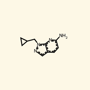 Nc1ccc2cnn(CC3CC3)c2n1